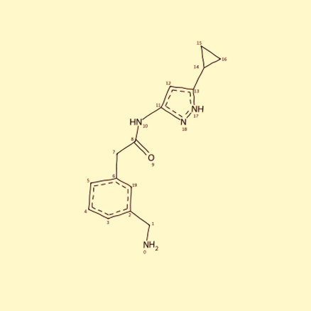 NCc1cccc(CC(=O)Nc2cc(C3CC3)[nH]n2)c1